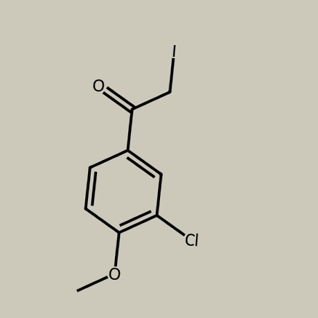 COc1ccc(C(=O)CI)cc1Cl